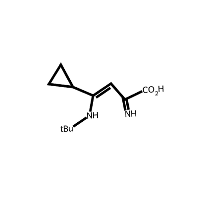 CC(C)(C)N/C(=C\C(=N)C(=O)O)C1CC1